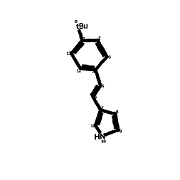 CC(C)(C)c1ccc(C=Cc2cc[nH]c2)cc1